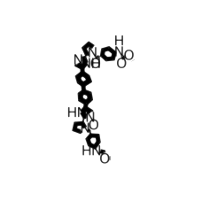 COCN[C@H]1CC[C@H](C(=O)N2CCC[C@H]2c2ncc(-c3ccc(-c4ccc(-c5cnc([C@@H]6CCCN6C(=O)[C@H]6CC[C@H](NC(=O)OC)CC6)[nH]5)cc4)cc3)[nH]2)CC1